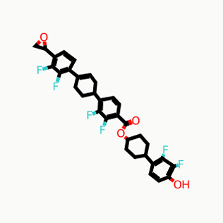 O=C(OC1CCC(c2ccc(O)c(F)c2F)CC1)c1ccc(C2CC=C(c3ccc(C4CO4)c(F)c3F)CC2)c(F)c1F